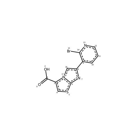 O=C(O)c1csc2nc(-c3cccnc3Br)cn12